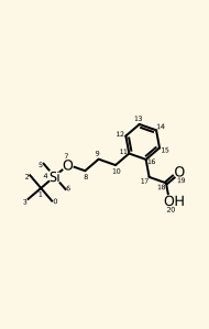 CC(C)(C)[Si](C)(C)OCCCc1ccccc1CC(=O)O